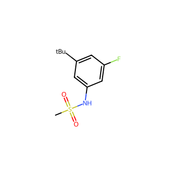 CC(C)(C)c1cc(F)cc(NS(C)(=O)=O)c1